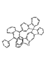 c1ccc(-c2c3ccccc3c(-c3ccc4c(c3)C3(c5ccccc5-c5cc6oc7cccnc7c6cc53)c3cccnc3-4)c3ccccc23)cc1